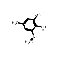 C=Nc1cc(C)cc(C(C)(C)C)c1O